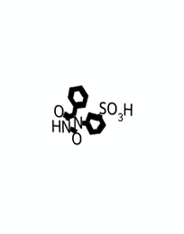 O=C1NC(=O)N(c2cccc(S(=O)(=O)O)c2)C1c1ccccc1